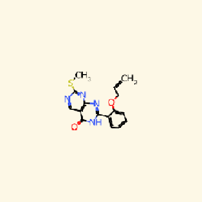 C=CCOc1ccccc1-c1nc2nc(SC)ncc2c(=O)[nH]1